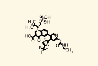 CCNC(=O)Nc1cc(-c2nc(C(F)(F)F)cs2)c(-c2ccc3c(c2)c(=O)c(C(=O)O)cn3[C@H](COP(=O)(O)O)C(C)C)cn1